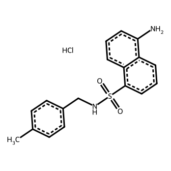 Cc1ccc(CNS(=O)(=O)c2cccc3c(N)cccc23)cc1.Cl